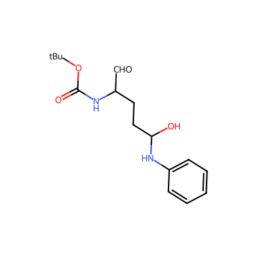 CC(C)(C)OC(=O)NC(C=O)CCC(O)Nc1ccccc1